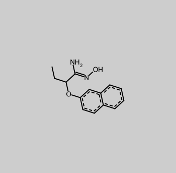 CCC(Oc1ccc2ccccc2c1)C(N)=NO